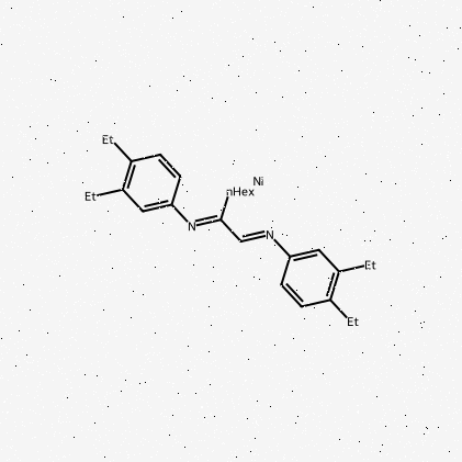 CCCCCCC(/C=N/c1ccc(CC)c(CC)c1)=N\c1ccc(CC)c(CC)c1.[Ni]